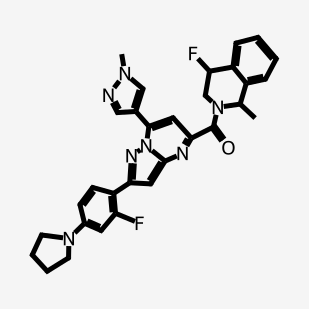 CC1c2ccccc2C(F)CN1C(=O)c1cc(-c2cnn(C)c2)n2nc(-c3ccc(N4CCCC4)cc3F)cc2n1